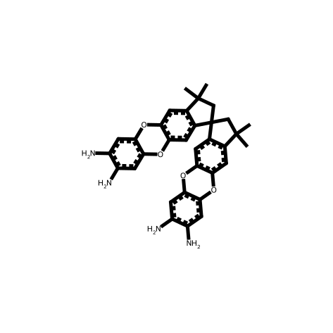 CC1(C)CC2(CC(C)(C)c3cc4c(cc32)Oc2cc(N)c(N)cc2O4)c2cc3c(cc21)Oc1cc(N)c(N)cc1O3